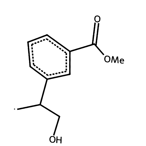 [CH2]C(CO)c1cccc(C(=O)OC)c1